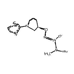 CN(/[N+]([O-])=N/O[C@@H]1CCN(c2nccs2)C1)C(C)(C)C